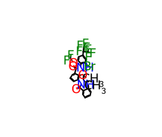 COc1c(NC(=O)c2ccccc2C)cccc1C(=O)Nc1c(Br)cc(C(F)(C(F)(F)F)C(F)(F)F)cc1OC(F)F